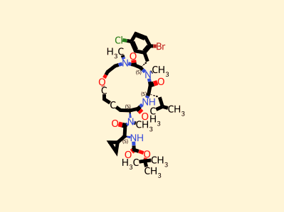 CC(C)C[C@@H]1NC(=O)[C@@H](N(C)C(=O)[C@@H](NC(=O)OC(C)(C)C)C2CC2)CCCCOCCN(C)C(=O)[C@H](Cc2cc(Cl)ccc2Br)N(C)C1=O